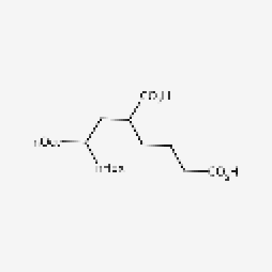 CCCCCCCCC(CCCCCC)CC(CCCC(=O)O)C(=O)O